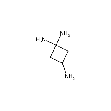 NC1CC(N)(N)C1